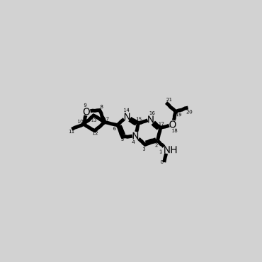 CNc1cn2cc(C34COC(C)(C3)C4)nc2nc1OC(C)C